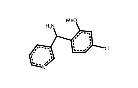 COc1cc(Cl)ccc1C(N)c1cccnc1